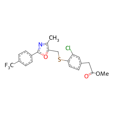 COC(=O)Cc1ccc(SCc2oc(-c3ccc(C(F)(F)F)cc3)nc2C)c(Cl)c1